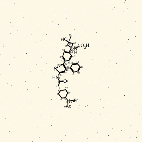 CC(=O)N(C(C)C)[C@H]1CC[C@H](CC(=O)Nc2cc(-c3ccccc3)c(-c3ccc([C@]4(NC(=O)O)C[C@](C)(O)C4)cc3)nn2)CC1